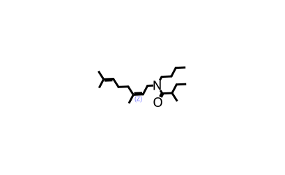 CCCCN(C/C=C(/C)CCC=C(C)C)C(=O)C(C)CC